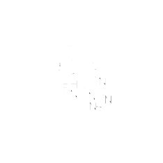 CCC(C)Nc1c(-c2cc(F)c(C)cc2F)c(Cl)nc2ncnn12